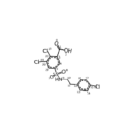 O=C(O)c1cc(S(=O)(=O)NCCc2ccc(Cl)cc2)cc(Cl)c1Cl